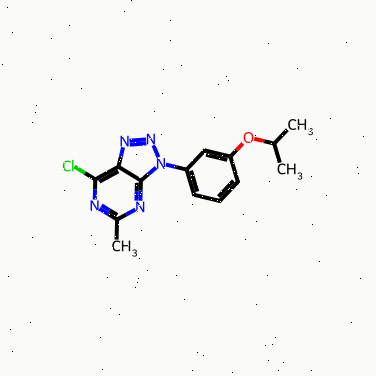 Cc1nc(Cl)c2nnn(-c3cccc(OC(C)C)c3)c2n1